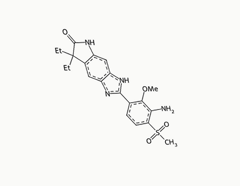 CCC1(CC)C(=O)Nc2cc3[nH]c(-c4ccc(S(C)(=O)=O)c(N)c4OC)nc3cc21